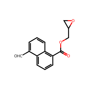 O=Cc1cccc2c(C(=O)OCC3CO3)cccc12